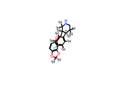 [2H]c1c([2H])c([C@]2([2H])C([2H])([2H])CNC([2H])([2H])C2([2H])COc2ccc3c(c2)OC([2H])([2H])O3)c([2H])c([2H])c1F